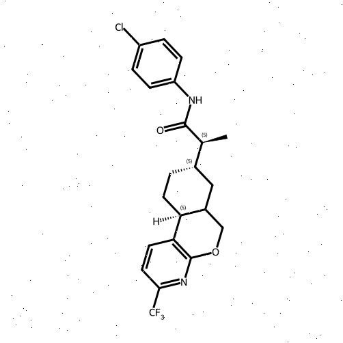 C[C@H](C(=O)Nc1ccc(Cl)cc1)[C@H]1CC[C@@H]2c3ccc(C(F)(F)F)nc3OCC2C1